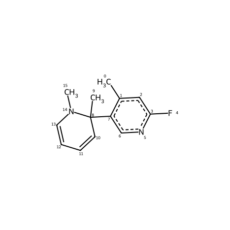 Cc1cc(F)ncc1C1(C)C=CC=CN1C